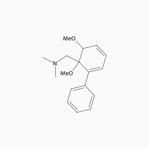 COC1C=CC=C(c2ccccc2)C1(CN(C)C)OC